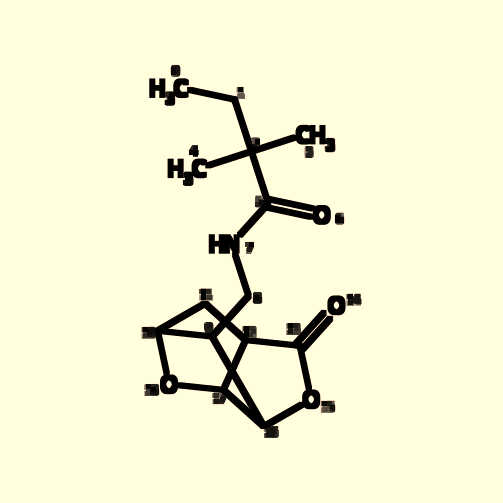 CCC(C)(C)C(=O)NCC1C2CC3C(=O)OC1C3O2